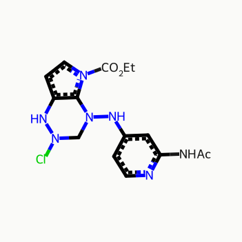 CCOC(=O)n1ccc2c1N(Nc1ccnc(NC(C)=O)c1)CN(Cl)N2